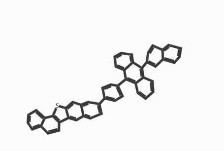 c1ccc2cc(-c3c4ccccc4c(-c4ccc(-c5ccc6cc7c(cc6c5)sc5c6ccccc6ccc75)cc4)c4ccccc34)ccc2c1